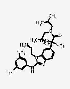 Cc1cc(C)cc(Nc2nc3ccc(C(C)(C)C(=O)N(CC(C)C)CC(C)C)cc3n2CCN)c1